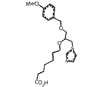 COc1ccc(COCC(Cn2ccnc2)OCCCCCCC(=O)O)cc1